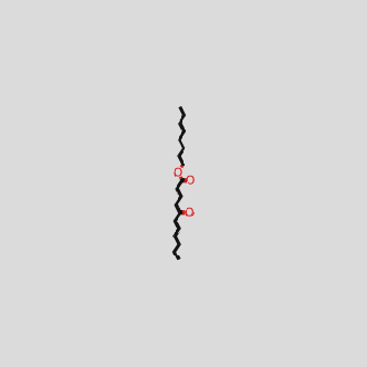 CCCCCCCCOC(=O)CCCC(=O)CCCCCC